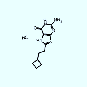 Cl.Nc1nc2nc(CCC3CCC3)[nH]c2c(=O)[nH]1